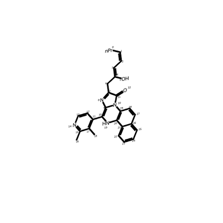 CCC/C=C\C=C(/O)Cc1nc2c(-c3ccnc(C)c3C)[nH]c3c4ccccc4ccc3n-2c1=O